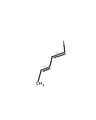 C/C=C/C=C/I